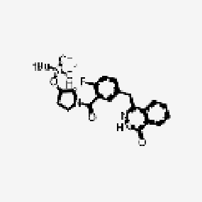 CC(C)(C)[Si](C)(C)OC1CCN(C(=O)c2cc(Cc3n[nH]c(=O)c4ccccc34)ccc2F)C1